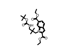 CCOC(=O)c1ccc2cc(C(=O)OCC)n(CC(C)(C)CNC(=O)OC(C)(C)C)c2c1